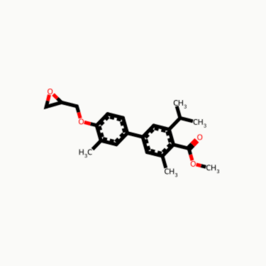 COC(=O)c1c(C)cc(-c2ccc(OCC3CO3)c(C)c2)cc1C(C)C